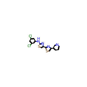 Clc1cc(Cl)cc(Nc2nc(-c3nc(-c4cccnc4)cs3)cs2)c1